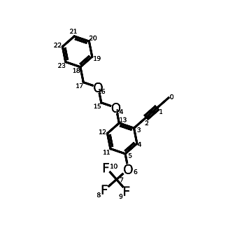 CC#Cc1cc(OC(F)(F)F)ccc1OCOCc1ccccc1